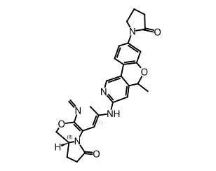 C=NC1=C(/C=C(\C)Nc2cc3c(cn2)-c2ccc(N4CCCC4=O)cc2OC3C)N2C(=O)CC[C@@H]2CO1